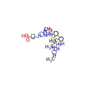 CCN1CCc2c(nc(C(=O)Nc3cccc(-c4cccc(NC(=O)c5nc6c(n5C)CCN(CC57CCC(C(=O)O)(CC5)C7)C6)c4Cl)c3C)n2C)C1